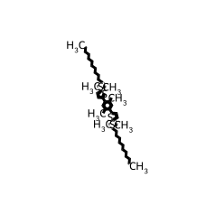 CCCCCCCCCCCC[Si](C)(C)c1ccc(-c2cc(C)c(-c3ccc([Si](C)(C)CCCCCCCCCCCC)s3)cc2C)s1